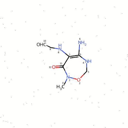 CN1OCNC(N)=C(NCC=O)C1=O